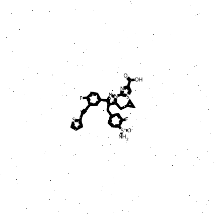 N[S+]([O-])c1ccc(Cc2c(-c3ccc(F)c(C#Cc4cccs4)c3)nn(-c3nc(C(=O)O)cs3)c2CC2CC2)cc1F